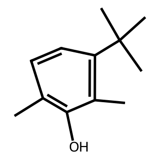 Cc1ccc(C(C)(C)C)c(C)c1O